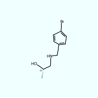 C[C@H](O)CNCc1ccc(Br)cc1